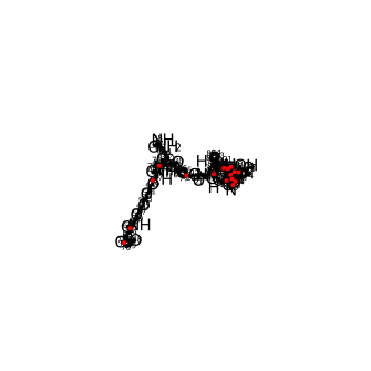 COc1c(C)cc2c(c1O)[C@@H]1[C@@H]3[C@@H]4SC[C@]5(N[C@@H](CNC(=O)OCc6ccc(NC(=O)[C@H](CCCCNC(N)=O)NC(=O)[C@@H](NC(=O)CCOCCOCCOCCOCCNC(=O)CCN7C(=O)C=CC7=O)C(C)C)cc6)Cc6c5[nH]c5ccccc65)C(=O)OCC(c5c6c(c(C)c(OC(C)=O)c54)OCO6)N3C(C#N)(C2)CN1C